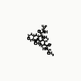 C=NN(/C(C=C1CCOCC1)=C(\N)C(=O)NC1CC1)c1ccc(C(=O)NCC)cc1